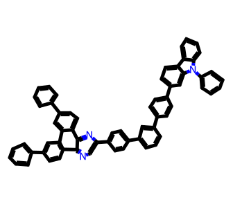 c1ccc(-c2ccc3c(c2)c2cc(-c4ccccc4)ccc2c2nc(-c4ccc(-c5cccc(-c6ccc(-c7ccc8c9ccccc9n(-c9ccccc9)c8c7)cc6)c5)cc4)cnc32)cc1